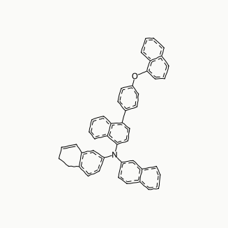 C1=Cc2cc(N(c3ccc4ccccc4c3)c3ccc(-c4ccc(Oc5cccc6ccccc56)cc4)c4ccccc34)ccc2CC1